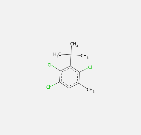 Cc1cc(Cl)c(Cl)c(C(C)(C)C)c1Cl